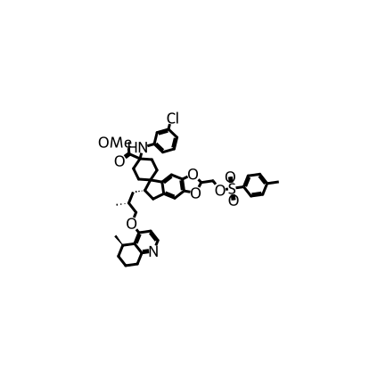 COC(=O)C1(Nc2cccc(Cl)c2)CCC2(CC1)c1cc3c(cc1C[C@@H]2C[C@@H](C)COc1ccnc2c1[C@H](C)CCC2)OC(COS(=O)(=O)c1ccc(C)cc1)O3